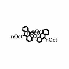 CCCCCCCCc1c2ccccc2c(CCCCCCCC)c2c(Oc3cccc4c(CCCCCCCC)c5ccccc5c(CCCCCCCC)c34)cccc12